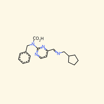 O=C(O)N(Cc1ccccc1)c1nccc(C=NCC2CCCC2)n1